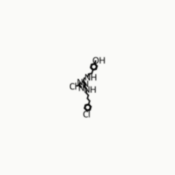 Oc1ccc(CCNCc2nc(Cl)nc(NCCCCc3ccc(Cl)cc3)n2)cc1